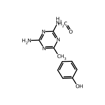 C=O.Cc1nc(N)nc(N)n1.Oc1ccccc1